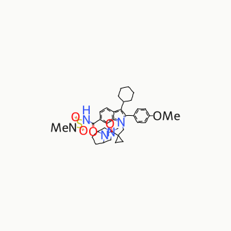 CNS(=O)(=O)NC(=O)c1ccc2c(C3CCCCC3)c(-c3ccc(OC)cc3)n(CC3(C(=O)N4C5CCC4CN(C)C5)CC3)c2c1